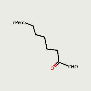 CCCCCCCCCCC(=O)C=O